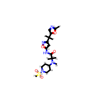 Cc1ncc(C(C)(C)c2cc(NC(=O)C(C)(C)N(C)C3CCN(S(C)(=O)=O)CC3)on2)o1